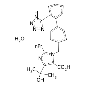 CCCc1nc(C(C)(C)O)c(C(=O)O)n1Cc1ccc(-c2ccccc2-c2nnn[nH]2)cc1.O